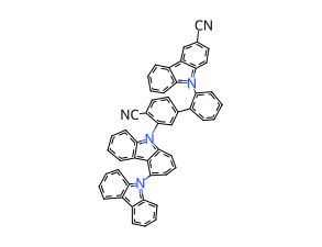 N#Cc1ccc2c(c1)c1ccccc1n2-c1ccccc1-c1ccc(C#N)c(-n2c3ccccc3c3c(-n4c5ccccc5c5ccccc54)cccc32)c1